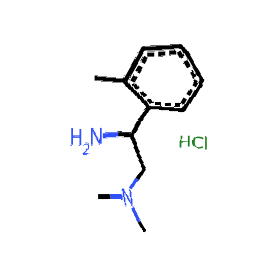 Cc1ccccc1C(N)CN(C)C.Cl